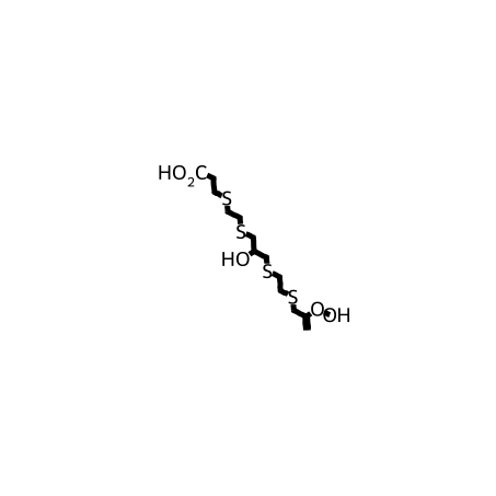 C=C(CSCCSCC(O)CSCCSCCC(=O)O)OO